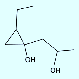 CCC1CC1(O)CC(C)O